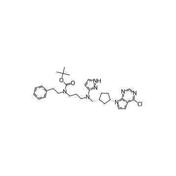 CC(C)(C)OC(=O)N(CCCN(C[C@@H]1CC[C@H](n2ccc3c(Cl)ncnc32)C1)c1cc[nH]n1)CCc1ccccc1